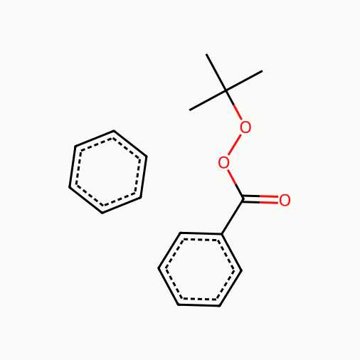 CC(C)(C)OOC(=O)c1ccccc1.c1ccccc1